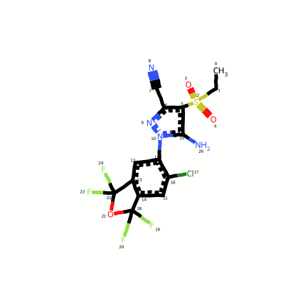 CCS(=O)(=O)c1c(C#N)nn(-c2cc3c(cc2Cl)C(F)(F)OC3(F)F)c1N